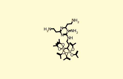 C=C(C)O[Si](OC(=C)C)(OC(=C)C)C(CCNC1=NC(CCN)=NC(CCN)N1N)[Si](OC(=C)C)(OC(=C)C)OC(=C)C